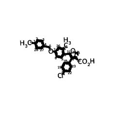 Cc1ccc(COc2ccc(-c3onc(C(=O)O)c3-c3ccc(Cl)cc3)c(C)c2)cc1